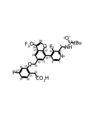 CC(C)(C)[S+]([O-])NCc1nccc(-c2cc(COc3cc(F)ccc3CC(=O)O)cc3c(C(F)(F)F)coc23)c1F